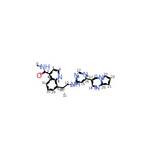 CNC(=O)c1ccnc2c([C@@H](C)CNc3cc(-c4cnc5cccn5c4)ncn3)cccc12